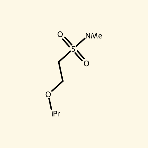 CNS(=O)(=O)CCOC(C)C